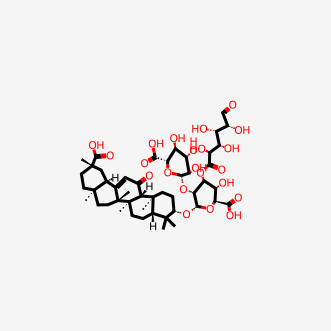 CC1(C)[C@@H](O[C@H]2O[C@H](C(=O)O)[C@@H](O)[C@H](OC(=O)[C@@H](O)[C@@H](O)[C@H](O)[C@@H](O)C=O)[C@H]2O[C@@H]2O[C@H](C(=O)O)[C@@H](O)[C@H](O)[C@H]2O)CC[C@]2(C)[C@H]3C(=O)C=C4[C@@H]5C[C@@](C)(C(=O)O)CC[C@]5(C)CC[C@@]4(C)[C@]3(C)CC[C@@H]12